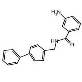 Nc1cccc(C(=O)NCc2ccc(-c3ccccc3)cc2)c1